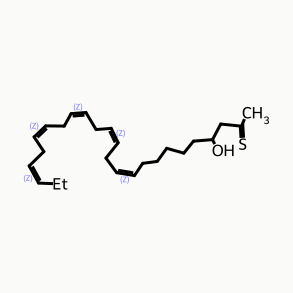 CC/C=C\C/C=C\C/C=C\C/C=C\C/C=C\CCCCCC(O)CC(C)=S